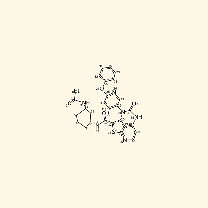 CCC(=O)N[C@@H]1CCC[C@@H](NC(=O)c2sc3nccc4c3c2N(c2cnc(Oc3ccccc3)cc2C)C(=O)N4)C1